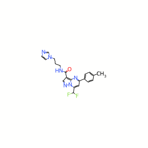 Cc1ccc(-c2cc(C(F)F)n3ncc(C(=O)NCCCn4ccnc4)c3n2)cc1